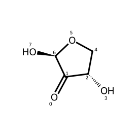 O=C1[C@@H](O)CO[C@@H]1O